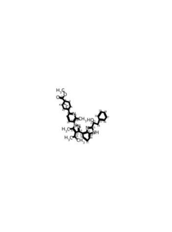 COC(=O)C12CCC(c3ccc(-n4nc(-c5cccc6[nH]c([C@@H](O)Cc7ccccc7)nc56)c(C(C)C)c4C)c(C)n3)(CC1)CC2